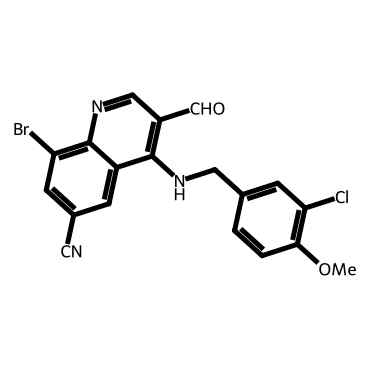 COc1ccc(CNc2c(C=O)cnc3c(Br)cc(C#N)cc23)cc1Cl